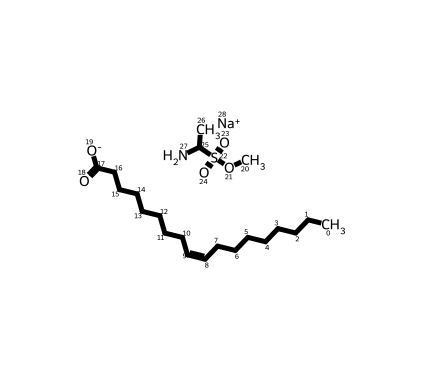 CCCCCCCC/C=C\CCCCCCCC(=O)[O-].COS(=O)(=O)C(C)N.[Na+]